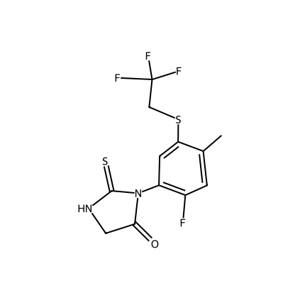 Cc1cc(F)c(N2C(=O)CNC2=S)cc1SCC(F)(F)F